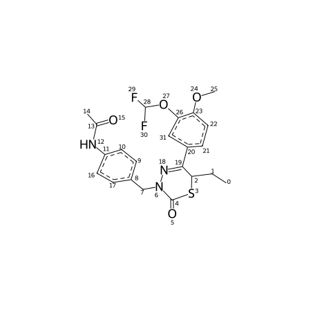 CCC1SC(=O)N(Cc2ccc(NC(C)=O)cc2)N=C1c1ccc(OC)c(OC(F)F)c1